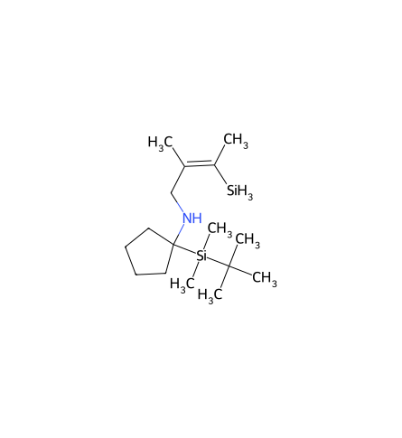 CC([SiH3])=C(C)CNC1([Si](C)(C)C(C)(C)C)CCCC1